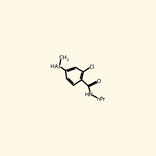 CCCNC(=O)c1ccc([AsH]C)cc1Cl